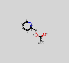 CCC(=O)OCc1ccccn1